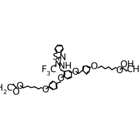 C=CC(=O)OCCCCCCOc1ccc(COc2ccc(OCc3ccc(OCCCCCCOC(O)C=C)cc3)cc2CNN(CC(F)(F)F)c2nc3ccccc3s2)cc1